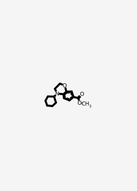 COC(=O)c1ccc2c(c1)OCCN2C1CCCCC1